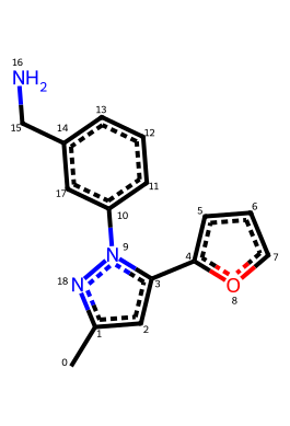 Cc1cc(-c2ccco2)n(-c2cccc(CN)c2)n1